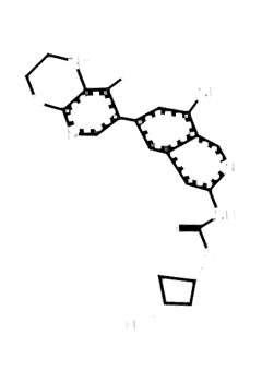 Cc1c(-c2cc(N)c3cnc(NC(=O)O[C@H]4C[C@@H](C)C4)cc3c2)cnc2c1NCCO2